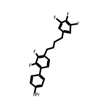 CCCc1ccc(-c2ccc(CCCCc3cc(F)c(F)c(F)c3)c(F)c2F)cc1